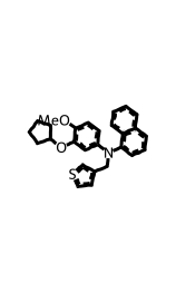 COc1ccc(N(Cc2ccsc2)c2cccc3ccccc23)cc1OC1CCCC1